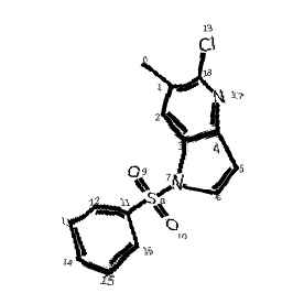 Cc1cc2c(ccn2S(=O)(=O)c2ccccc2)nc1Cl